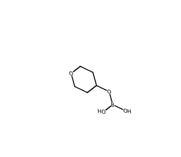 OB(O)OC1CCOCC1